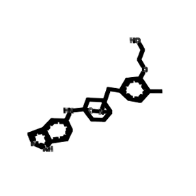 Cc1ccc(CN2CC3(Nc4ccc5[nH]ncc5c4)CCC2CC3)cc1OCCO